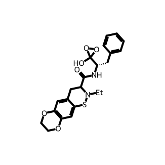 CCN1Sc2cc3c(cc2CC1C(=O)N[C@@H](Cc1ccccc1)C1(O)OO1)OCCO3